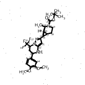 COc1ccc(C2CC(C(F)(F)F)n3nc(C4C5CCN(C(=O)OC(C)(C)C)C(C)[C@@H]54)cc3N2)cc1OC